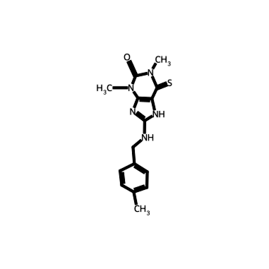 Cc1ccc(CNc2nc3c([nH]2)c(=S)n(C)c(=O)n3C)cc1